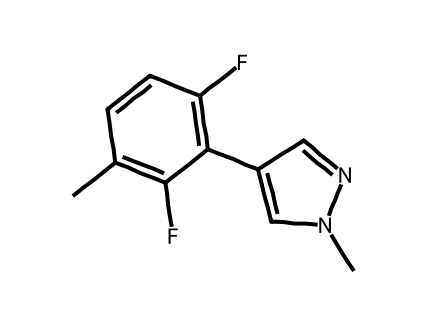 Cc1ccc(F)c(-c2cnn(C)c2)c1F